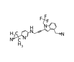 CC(C)(C#N)c1ccc(NCC#Cc2cc3c(CC#N)cccc3n2CC(F)(F)F)cn1